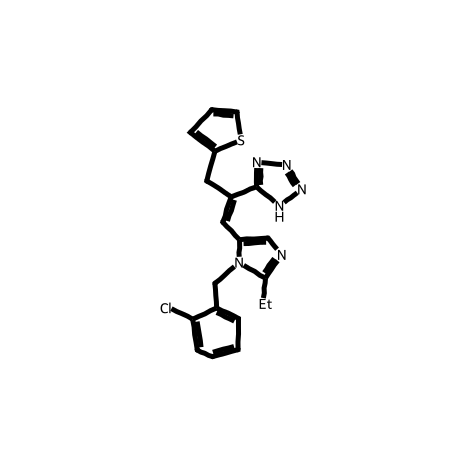 CCc1ncc(C=C(Cc2cccs2)c2nnn[nH]2)n1Cc1ccccc1Cl